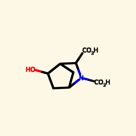 O=C(O)C1C2CC(CC2O)N1C(=O)O